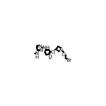 CNc1ccnc(Nc2ccc(OC)c(OCC3CCN(COCCBr)C3)c2)n1